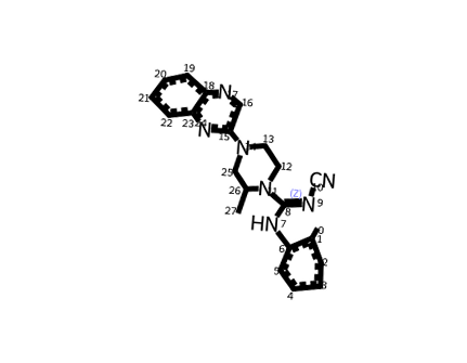 Cc1ccccc1N/C(=N/C#N)N1CCN(c2cnc3ccccc3n2)CC1C